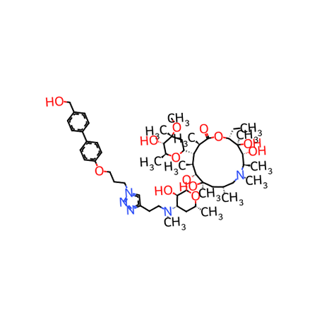 CC[C@H]1OC(=O)[C@H](C)[C@@H](C2C[C@@](C)(OC)[C@@H](O)[C@H](C)O2)[C@H](C)[C@@H](O[C@@H]2O[C@H](C)C[C@H](N(C)CCc3cn(CCCOc4ccc(-c5ccc(CO)cc5)cc4)nn3)[C@H]2O)[C@](C)(O)C[C@@H](C)CN(C)[C@H](C)[C@@H](O)[C@]1(C)O